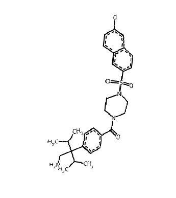 CC(C)C(CN)(c1ccc(C(=O)N2CCN(S(=O)(=O)c3ccc4cc(Cl)ccc4c3)CC2)cc1)C(C)C